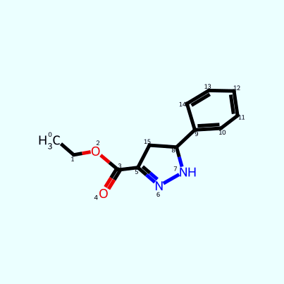 CCOC(=O)C1=NNC(c2ccccc2)C1